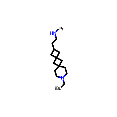 CCC(C)CN1CCC2(CC1)CC1(CC(CCNC(C)C)C1)C2